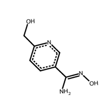 N/C(=N\O)c1ccc(CO)nc1